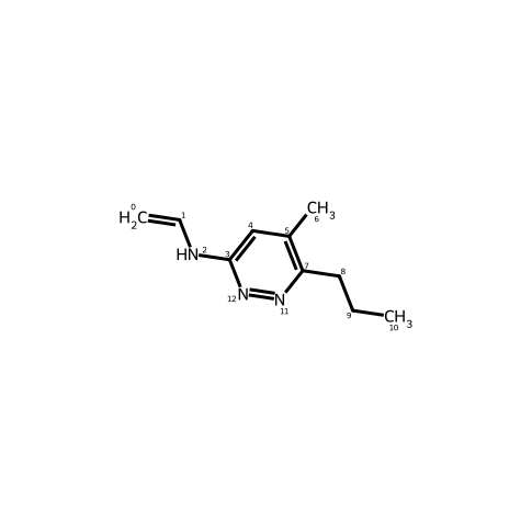 C=CNc1cc(C)c(CCC)nn1